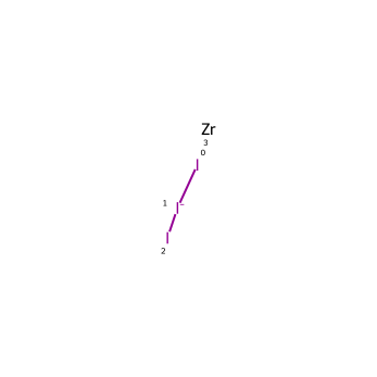 I[I-]I.[Zr]